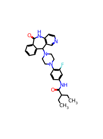 CCC(CC)C(=O)Nc1ccc(N2CCN(C3c4cnccc4NC(=O)c4ccccc43)CC2)c(F)c1